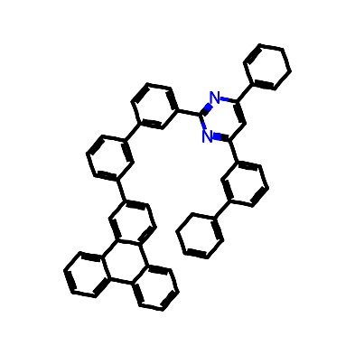 C1=CCCC(c2cccc(-c3cc(C4=CCCC=C4)nc(-c4cccc(-c5cccc(-c6ccc7c8ccccc8c8ccccc8c7c6)c5)c4)n3)c2)=C1